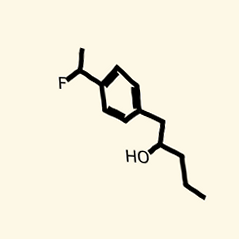 CCCC(O)Cc1ccc(C(C)F)cc1